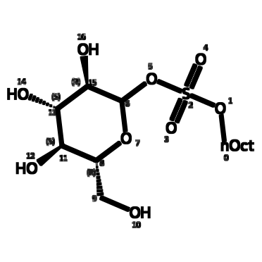 CCCCCCCCOS(=O)(=O)OC1O[C@H](CO)[C@@H](O)[C@H](O)[C@H]1O